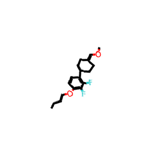 CCCCOc1ccc(C2CCC(=COC)CC2)c(F)c1F